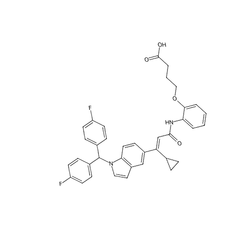 O=C(O)CCCOc1ccccc1NC(=O)C=C(c1ccc2c(ccn2C(c2ccc(F)cc2)c2ccc(F)cc2)c1)C1CC1